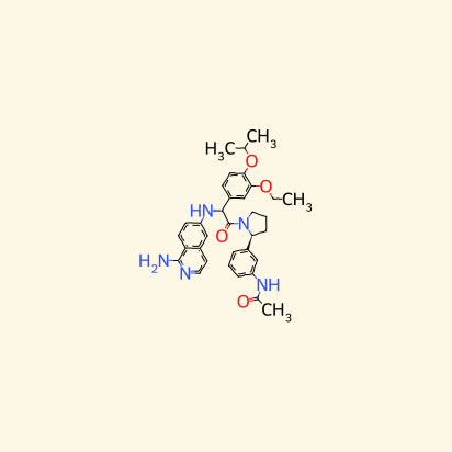 CCOc1cc([C@H](Nc2ccc3c(N)nccc3c2)C(=O)N2CCC[C@H]2c2cccc(NC(C)=O)c2)ccc1OC(C)C